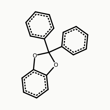 c1ccc(C2(c3ccccc3)Oc3ccccc3O2)cc1